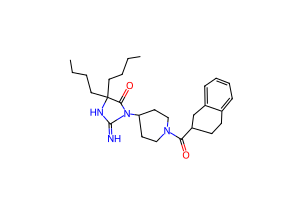 CCCCC1(CCCC)NC(=N)N(C2CCN(C(=O)C3CCc4ccccc4C3)CC2)C1=O